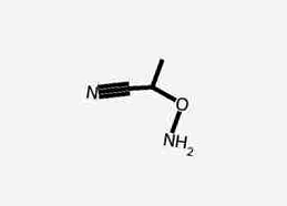 CC(C#N)ON